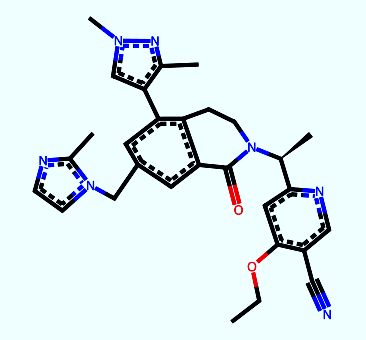 CCOc1cc([C@H](C)N2CCc3c(cc(Cn4ccnc4C)cc3-c3cn(C)nc3C)C2=O)ncc1C#N